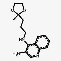 CC1(CCCNc2c(N)cnc3ccccc23)OCCO1